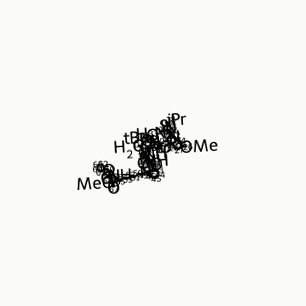 C=C[C@@H]1C[C@]1(NC(=O)[C@@H]1C[C@@H](Oc2cc(-c3nc(C(C)C)sc3N)nc3cc(OC)ccc23)CN1C(=O)OC(C)(C)C)C(=O)NS(=O)(=O)c1ccccc1NCCCCCCC[C@H](NC(=O)OC1CCCC1)C(=O)OC